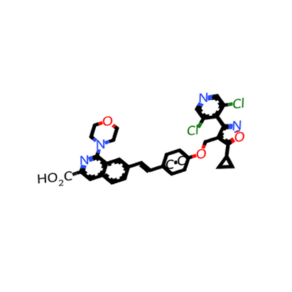 O=C(O)c1cc2ccc(C=CC34CCC(OCc5c(-c6c(Cl)cncc6Cl)noc5C5CC5)(CC3)CC4)cc2c(N2CCOCC2)n1